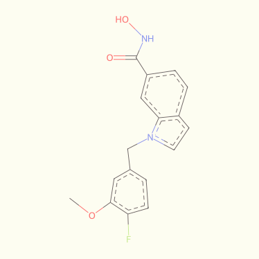 COc1cc(Cn2ccc3ccc(C(=O)NO)cc32)ccc1F